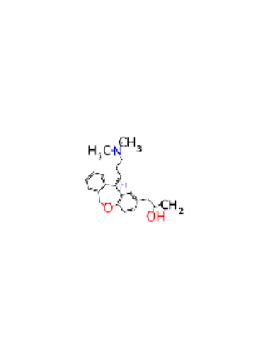 C=C(O)Cc1ccc2c(c1)/C(=C/CCN(C)C)c1ccccc1CO2